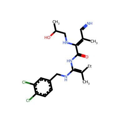 CC/C(C)=C(/NCc1ccc(Cl)c(Cl)c1)NC(=O)/C(NCC(C)O)=C(\C)C=N